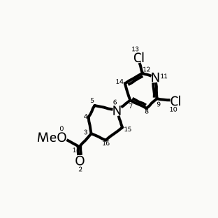 COC(=O)C1CCN(c2cc(Cl)nc(Cl)c2)CC1